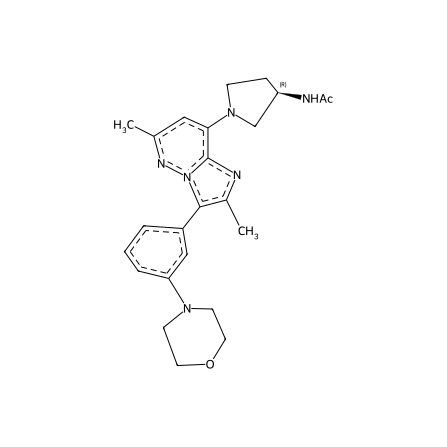 CC(=O)N[C@@H]1CCN(c2cc(C)nn3c(-c4cccc(N5CCOCC5)c4)c(C)nc23)C1